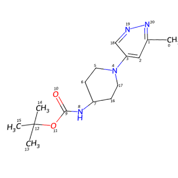 Cc1cc(N2CCC(NC(=O)OC(C)(C)C)CC2)cnn1